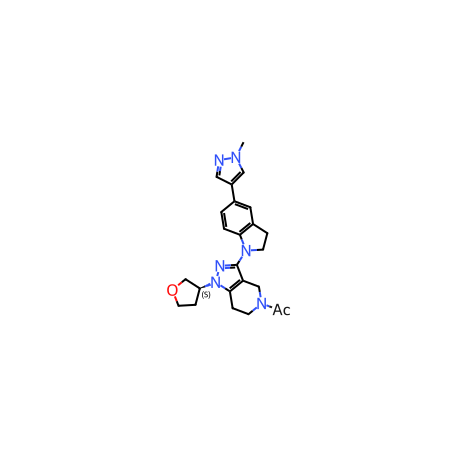 CC(=O)N1CCc2c(c(N3CCc4cc(-c5cnn(C)c5)ccc43)nn2[C@H]2CCOC2)C1